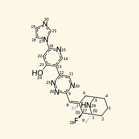 C[C@]12CCCC(C/C(=C\c3ncc(-c4cnc(-n5ccnc5)cc4O)nn3)[C@@H]1F)N2